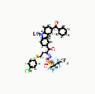 CCn1c2ccc(C(=O)/C(CCSc3ccc(Cl)cc3)=N/OS(=O)(=O)C(F)(F)C(F)(F)C(F)(F)C(F)(F)F)cc2c2cc(C(=O)c3ccccc3)ccc21